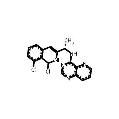 C[C@H](Nc1ncnc2cccnc12)C1=Cc2cccc(Cl)c2C(Cl)N1